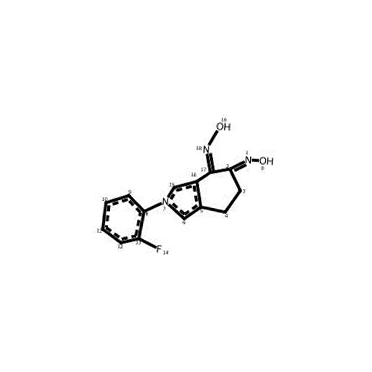 ON=C1CCc2cn(-c3ccccc3F)cc2C1=NO